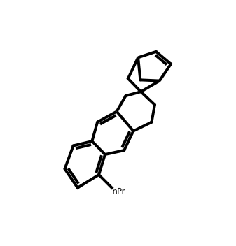 CCCc1cccc2cc3c(cc12)CCC1(C3)CC2C=CC1C2